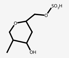 CC1COC(COS(=O)(=O)O)CC1O